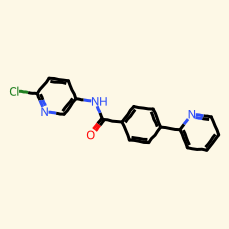 O=C(Nc1ccc(Cl)nc1)c1ccc(-c2ccccn2)cc1